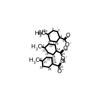 CC1CCC(C(=O)[O-])CC1.CC1CCC(C(=O)[O-])CC1.CC1CCC(C(=O)[O-])CC1.[Al+3]